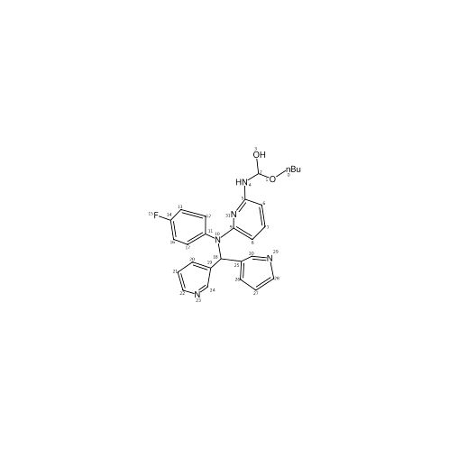 CCCCOC(O)Nc1cccc(N(c2ccc(F)cc2)C(c2cccnc2)c2cccnc2)n1